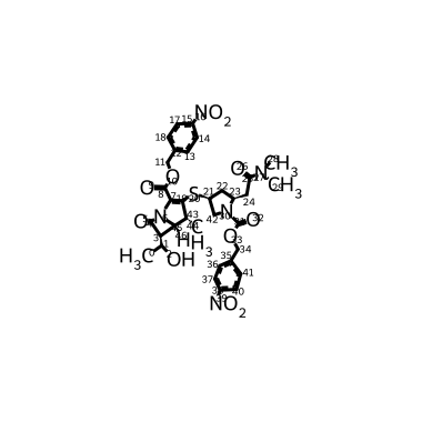 CC(O)[C@H]1C(=O)N2C(C(=O)OCc3ccc([N+](=O)[O-])cc3)=C(S[C@H]3C[C@@H](CC(=O)N(C)C)N(C(=O)OCc4ccc([N+](=O)[O-])cc4)C3)[C@H](C)[C@H]12